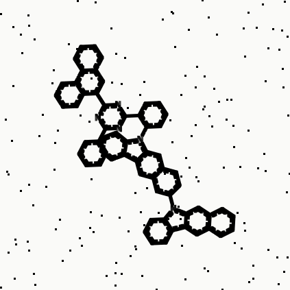 c1ccc(-c2nc(-c3ccccc3-n3c4ccccc4c4cc5cc(-n6c7ccccc7c7cc8ccccc8cc76)ccc5cc43)nc(-c3cc4ccccc4c4ccccc34)n2)cc1